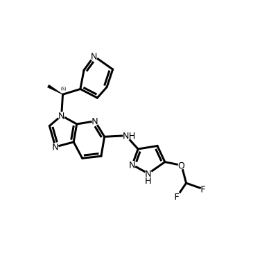 C[C@@H](c1cccnc1)n1cnc2ccc(Nc3cc(OC(F)F)[nH]n3)nc21